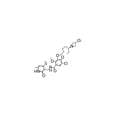 COc1c(C(=O)NCc2c(SC)cc(C)[nH]c2=O)cc(Cl)c2c1O[C@@](C)([C@H]1CC[C@H](N3CC(OC)C3)CC1)O2